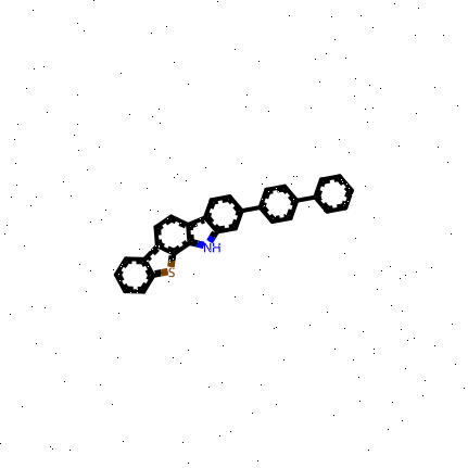 c1ccc(-c2ccc(-c3ccc4c(c3)[nH]c3c4ccc4c5ccccc5sc43)cc2)cc1